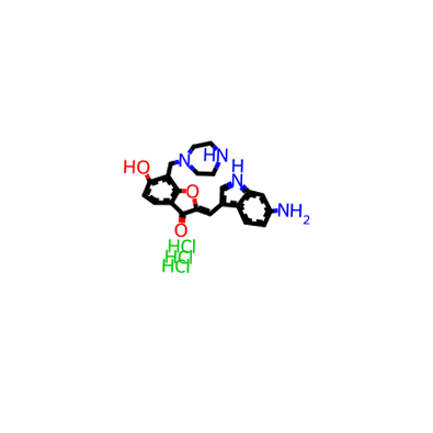 Cl.Cl.Cl.Nc1ccc2c(/C=C3\Oc4c(ccc(O)c4CN4CCNCC4)C3=O)c[nH]c2c1